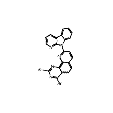 Brc1nc(Br)c2ccc3ccc(-n4c5ccccc5c5cccnc54)nc3c2n1